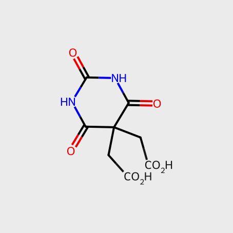 O=C(O)CC1(CC(=O)O)C(=O)NC(=O)NC1=O